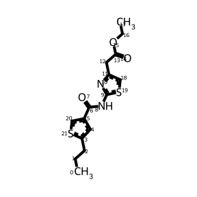 CCCc1cc(C(=O)Nc2nc(CC(=O)OCC)cs2)cs1